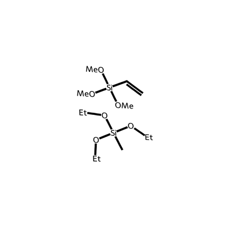 C=C[Si](OC)(OC)OC.CCO[Si](C)(OCC)OCC